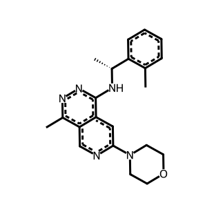 Cc1ccccc1[C@@H](C)Nc1nnc(C)c2cnc(N3CCOCC3)cc12